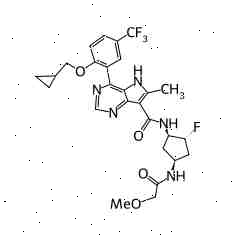 COCC(=O)N[C@@H]1C[C@@H](F)[C@H](NC(=O)c2c(C)[nH]c3c(-c4cc(C(F)(F)F)ccc4OCC4CC4)ncnc23)C1